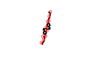 CC1(C)CC2(CC(C)(C)c3ccc(OC(=O)COCC4CO4)cc3O2)Oc2cc(OOCCOCC3CO3)ccc21